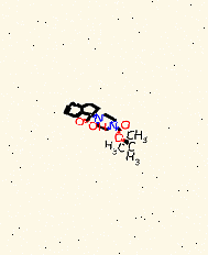 CC(C)(C)OC(=O)N1CCN(C2(C(=O)O)CCc3ccccc32)CC1